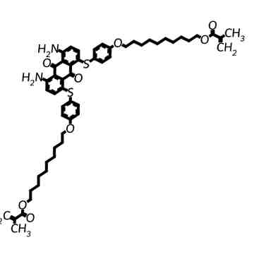 C=C(C)C(=O)OCCCCCCCCCCOc1ccc(Sc2ccc(N)c3c2C(=O)c2c(Sc4ccc(OCCCCCCCCCCOC(=O)C(=C)C)cc4)ccc(N)c2C3=O)cc1